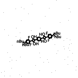 CCCCN(CCCC)c1cc(F)c(C2C(O)C(c3ccc(C4C(O)C(c5c(F)cc(N(CCCC)CCCC)cc5F)C4O)cc3)C2O)c(F)c1